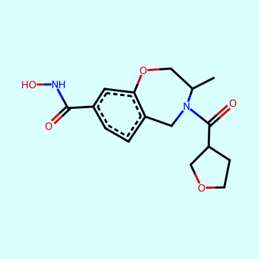 CC1COc2cc(C(=O)NO)ccc2CN1C(=O)C1CCOC1